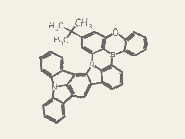 CC(C)(C)c1cc2c3c(c1)-n1c4c(cccc4c4cc5c6ccccc6n6c7ccccc7c(c41)c56)B3c1ccccc1O2